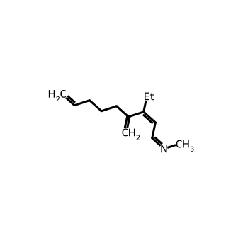 C=CCCCC(=C)/C(=C\C=N/C)CC